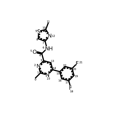 Cc1nc(C(=O)Nc2csc(C)n2)cc(-c2cc(F)cc(F)c2)n1